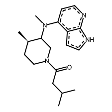 CC(C)CC(=O)N1CC[C@@H](C)C(N(C)c2ccnc3[nH]ccc23)C1